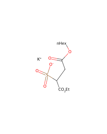 CCCCCCOC(=O)CC(C(=O)OCC)S(=O)(=O)[O-].[K+]